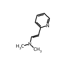 CN(C)C=Cc1ccccn1